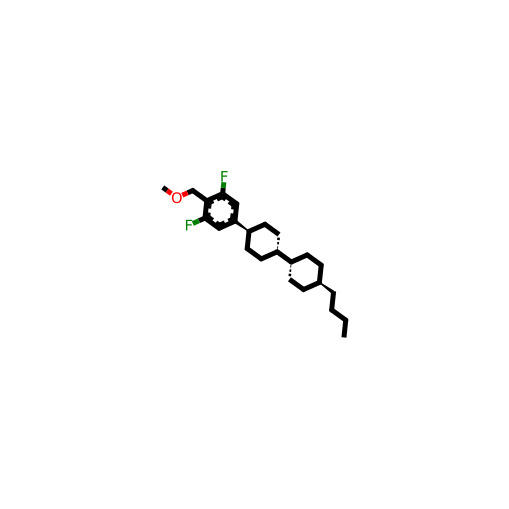 CCCC[C@H]1CC[C@H]([C@H]2CC[C@H](c3cc(F)c(COC)c(F)c3)CC2)CC1